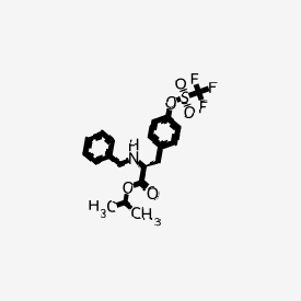 CC(C)OC(=O)[C@H](Cc1ccc(OS(=O)(=O)C(F)(F)F)cc1)NCc1ccccc1